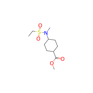 CCS(=O)(=O)N(C)C1CCC(C(=O)OC)CC1